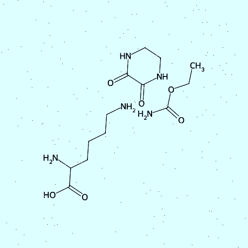 CCOC(N)=O.NCCCCC(N)C(=O)O.O=C1NCCNC1=O